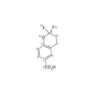 O=C(O)c1ccc2c(c1)CCC(F)(F)O2